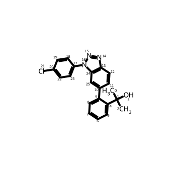 CC(C)(O)c1ccccc1-c1ccc2nnn(-c3ccc(Cl)cc3)c2c1